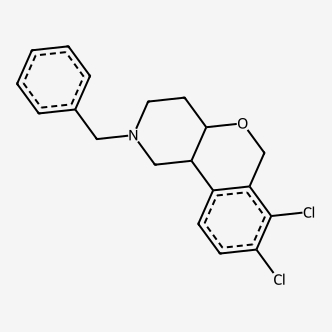 Clc1ccc2c(c1Cl)COC1CCN(Cc3ccccc3)CC21